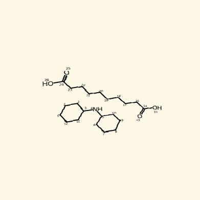 C1CCC(NC2CCCCC2)CC1.O=C(O)CCCCCCCCC(=O)O